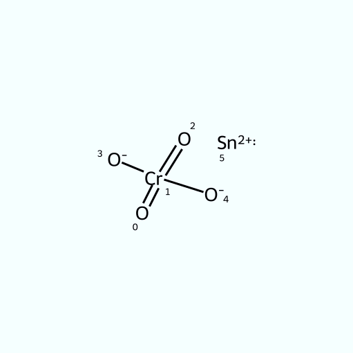 [O]=[Cr](=[O])([O-])[O-].[Sn+2]